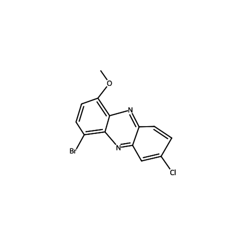 COc1ccc(Br)c2nc3cc(Cl)ccc3nc12